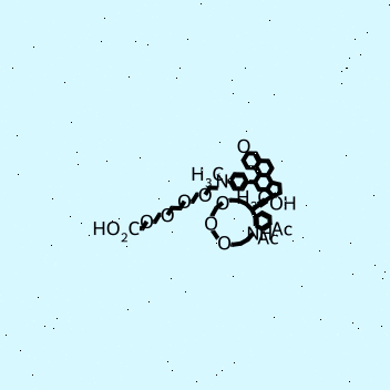 CC(=O)c1ccc2c(c1C(C)=O)NCCCOCCOCCOCCCC2C#CC1(O)CCC2C3CCC4=CC(=O)CCC4=C3C(c3ccc(N(C)CCOCCOCCOCCOCC(=O)O)cc3)CC21C